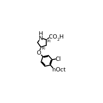 CCCCCCCCc1ccc(O[C@H]2CN[C@@H](C(=O)O)C2)cc1Cl